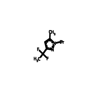 Cc1cc(C(C)(F)F)nn1C(C)C